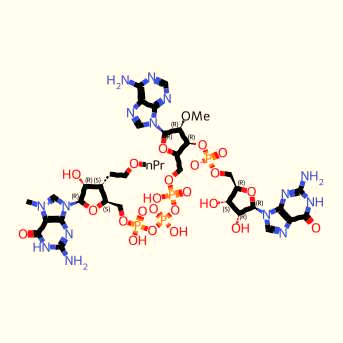 CCCOCC[C@H]1[C@@H](O)[C@H](n2c[n+](C)c3c(=O)[nH]c(N)nc32)O[C@@H]1COP(=O)(O)OP(=O)(O)OP(=O)(O)OCC1O[C@@H](n2cnc3c(N)ncnc32)[C@H](OC)[C@@H]1OP(=O)([O-])OC[C@H]1O[C@@H](n2cnc3c(=O)[nH]c(N)nc32)[C@H](O)[C@@H]1O